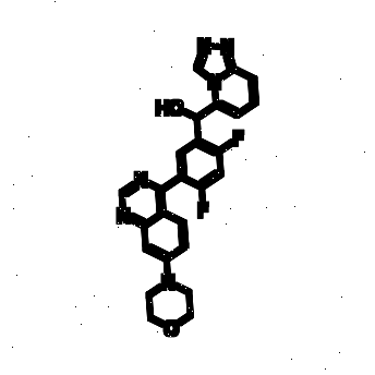 OC(c1cc(-c2ncnc3cc(N4CCOCC4)ccc23)c(F)cc1F)c1cccc2nncn12